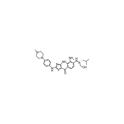 CC(C)C[C@H](CO)Nc1ccc(C(=O)c2sc(Nc3ccc(N4CCN(C)CC4)cc3)nc2N)cc1N